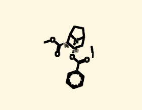 CI.COC(=O)[C@@H]1C2CCC(C[C@@H]1OC(=O)c1ccccc1)N2C